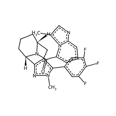 Cc1cnc2cccc(C(=O)N3[C@@H]4CCC[C@H]3c3nn(C)c(-c5cc(F)c(F)c(F)c5)c3C4)n12